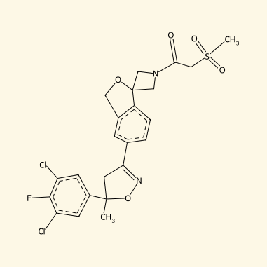 CC1(c2cc(Cl)c(F)c(Cl)c2)CC(c2ccc3c(c2)COC32CN(C(=O)CS(C)(=O)=O)C2)=NO1